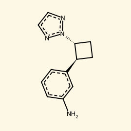 Nc1cccc([C@@H]2CC[C@H]2n2nccn2)c1